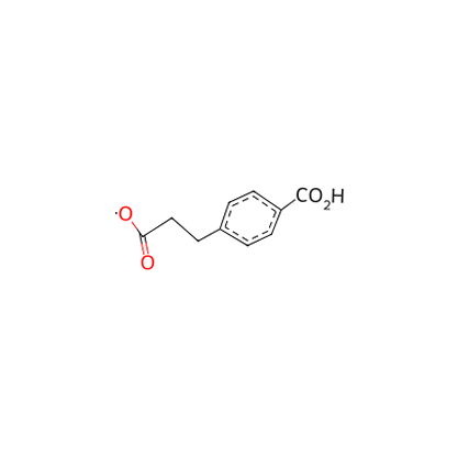 [O]C(=O)CCc1ccc(C(=O)O)cc1